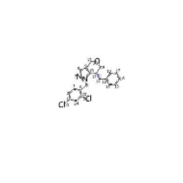 Clc1ccc(Cn2ncc3c2/C(=C/c2ccccc2)COC3)c(Cl)c1